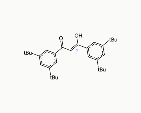 CC(C)(C)c1cc(C(=O)/C=C(\O)c2cc(C(C)(C)C)cc(C(C)(C)C)c2)cc(C(C)(C)C)c1